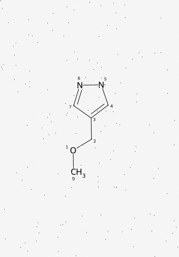 COCC1=C[N]N=C1